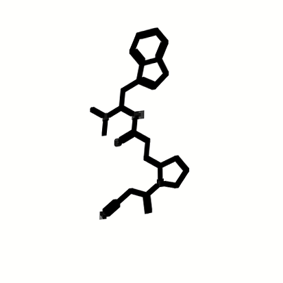 C=C(CC#N)N1CCCC1CCC(=O)NC(CC1=CCc2ccccc21)B(C)C